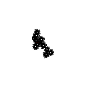 c1ccc(-c2ccc(-c3ccc(N(c4ccc5ccccc5c4)c4ccccc4-c4cccc5oc6cc7ccccc7cc6c45)cc3)cc2-c2ccccc2)cc1